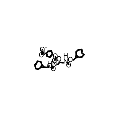 O=C(NCC(CNC(=O)OCC1C2CC/C=C/CCC21)OC(=O)Oc1ccc([N+](=O)[O-])cc1)OCC1C2CC/C=C/CCC21